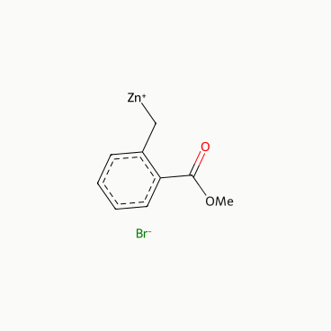 COC(=O)c1ccccc1[CH2][Zn+].[Br-]